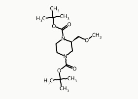 COC[C@H]1CN(C(=O)OC(C)(C)C)CCN1C(=O)OC(C)(C)C